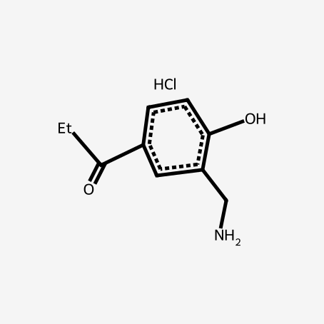 CCC(=O)c1ccc(O)c(CN)c1.Cl